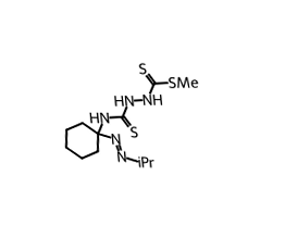 CSC(=S)NNC(=S)NC1(N=NC(C)C)CCCCC1